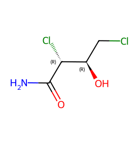 NC(=O)[C@H](Cl)[C@H](O)CCl